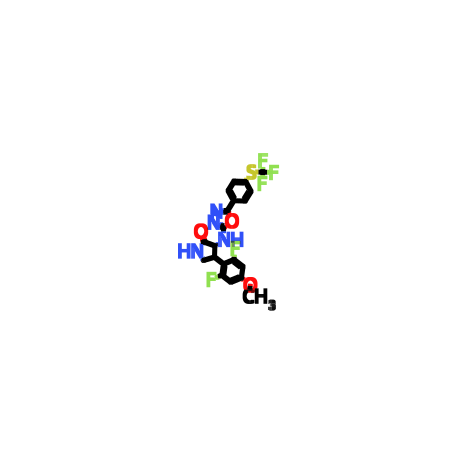 COc1cc(F)c(C2CNC(=O)[C@@H]2Nc2nnc(-c3ccc(SC(F)(F)F)cc3)o2)c(F)c1